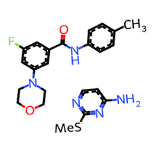 CSc1nccc(N)n1.Cc1ccc(NC(=O)c2cc(F)cc(N3CCOCC3)c2)cc1